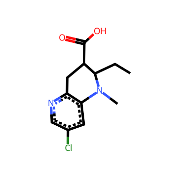 CCC1C(C(=O)O)Cc2ncc(Cl)cc2N1C